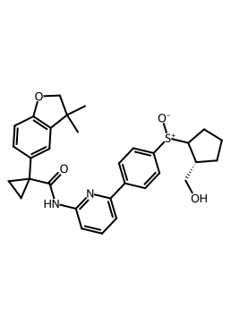 CC1(C)COc2ccc(C3(C(=O)Nc4cccc(-c5ccc([S+]([O-])C6CCC[C@@H]6CO)cc5)n4)CC3)cc21